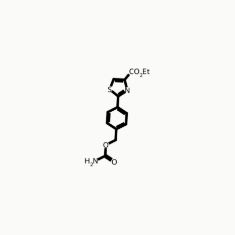 CCOC(=O)c1csc(-c2ccc(COC(N)=O)cc2)n1